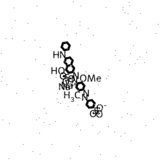 COc1cc(N=Nc2ccc(S(=O)(=O)[O-])cc2)c(C)cc1N=Nc1cc2ccc(Nc3ccccc3)cc2c(O)c1S(=O)(=O)[O-].[Na+].[Na+]